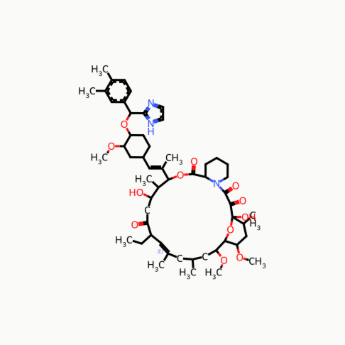 CCC1/C=C(\C)CC(C)CC(OC)C2OC(O)(C(=O)C(=O)N3CCCCC3C(=O)OC(C(C)=CC3CCC(OC(c4ccc(C)c(C)c4)c4ncc[nH]4)C(OC)C3)C(C)C(O)CC1=O)C(C)CC2OC